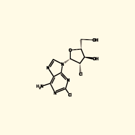 Nc1nc(Cl)nc2c1ncn2[C@@H]1O[C@H](CO)[C@@H](O)[C@@H]1Cl